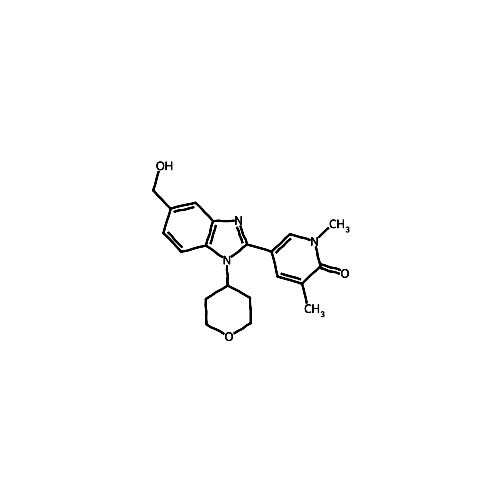 Cc1cc(-c2nc3cc(CO)ccc3n2C2CCOCC2)cn(C)c1=O